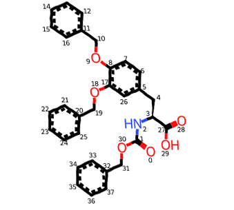 O=C(N[C@@H](Cc1ccc(OCc2ccccc2)c(OCc2ccccc2)c1)C(=O)O)OCc1ccccc1